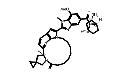 COc1cc(C(=O)N2[C@H]3CC[C@@H]2[C@H](N)C3)cc2nc(-c3cc4ccc5nc4n3CCCCCCCC(=O)N3CC4(CC4)C[C@@]53C)n(C)c12